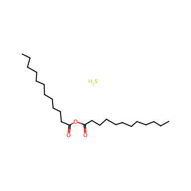 CCCCCCCCCCCC(=O)OC(=O)CCCCCCCCCCC.S